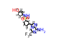 Cc1ccc(S(=O)(=O)NC23CCC(O)(CC2)C3)cc1-c1cnc2c(N)nc(C(F)(F)F)cn12